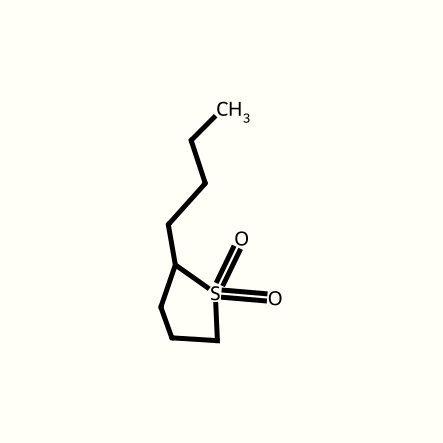 CCCCC1CCCS1(=O)=O